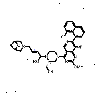 COc1nc(N2CCN(C(O)/C=C/CN3CC4CC(C3)O4)[C@@H](CC#N)C2)c2cnc(-c3cccc4cccc(Cl)c34)c(F)c2n1